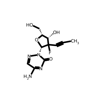 CC#CC1(F)[C@@H](O)[C@@H](CO)O[C@H]1n1ncc(N)nc1=O